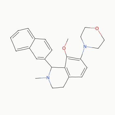 COc1c(N2CCOCC2)ccc2c1C(c1ccc3ccccc3c1)N(C)CC2